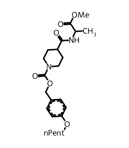 CCCCCOc1ccc(COC(=O)N2CCC(C(=O)NC(C)C(=O)OC)CC2)cc1